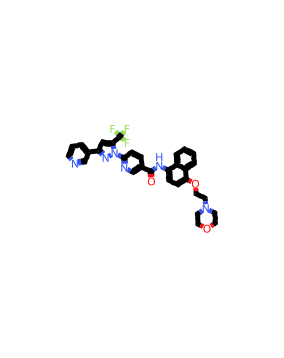 O=C(Nc1ccc(OCCN2CCOCC2)c2ccccc12)c1ccc(-n2nc(-c3cccnc3)cc2C(F)(F)F)nc1